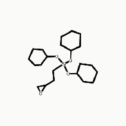 C1CCC(O[Si](CCC2CO2)(OC2CCCCC2)OC2CCCCC2)CC1